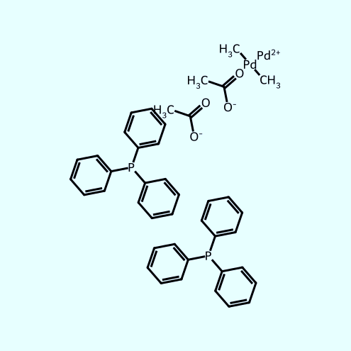 CC(=O)[O-].CC(=O)[O-].[CH3][Pd][CH3].[Pd+2].c1ccc(P(c2ccccc2)c2ccccc2)cc1.c1ccc(P(c2ccccc2)c2ccccc2)cc1